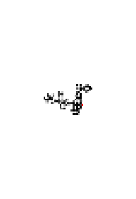 C=C(C)C(=O)OCCNC(=O)OCCN1C2=CCCC=C2C(C)(C)C12C=Cc1cc(C(=O)c3ccccc3)ccc1O2